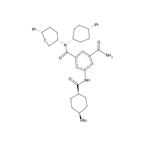 CCCC[C@H]1CC[C@@H](C(=O)Nc2cc(C(N)=O)cc(C(=O)N([C@H]3CC[C@@H](C(C)C)CC3)[C@H]3CC[C@@H](C(C)C)CC3)c2)CC1